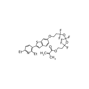 C=C(C)C(=O)OCCC(F)(F)OC(F)(F)OC(F)(F)CCOc1ccc2cc(-c3ccc(CC)nc3CC)sc2c1